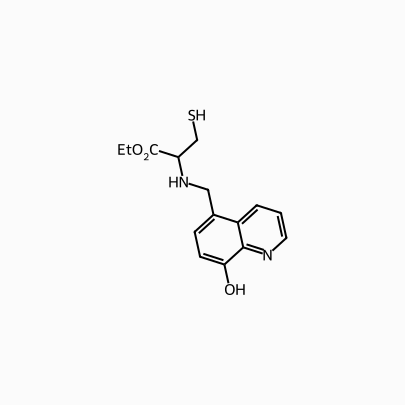 CCOC(=O)C(CS)NCc1ccc(O)c2ncccc12